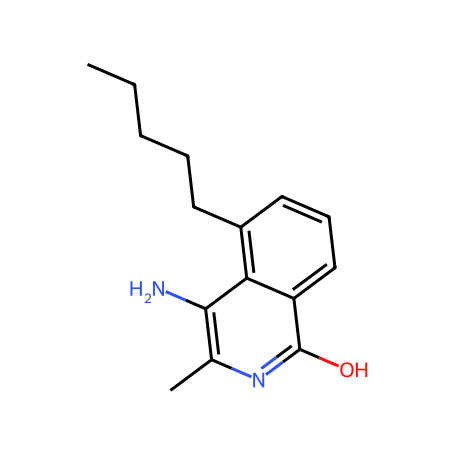 CCCCCc1cccc2c(O)nc(C)c(N)c12